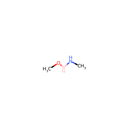 CNBOC